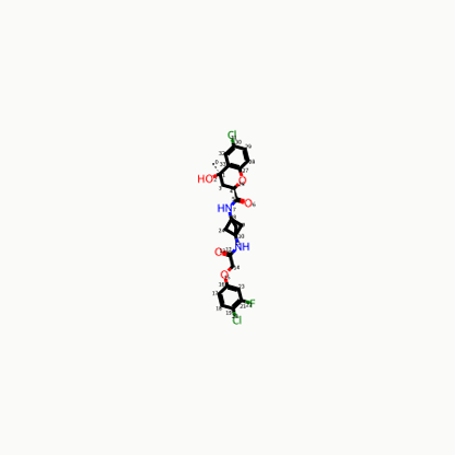 C[C@@]1(O)C[C@H](C(=O)NC23CC(NC(=O)COc4ccc(Cl)c(F)c4)(C2)C3)Oc2ccc(Cl)cc21